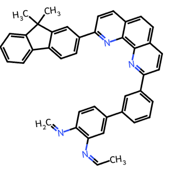 C=Nc1ccc(-c2cccc(-c3ccc4ccc5ccc(-c6ccc7c(c6)C(C)(C)c6ccccc6-7)nc5c4n3)c2)cc1/N=C\C